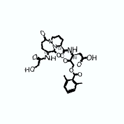 Cc1cccc(C)c1C(=O)OCC(=O)[C@H](CC(=O)O)NC(=O)[C@@H]1CCCN2C(=O)CC[C@H](NC(=O)CO)C(=O)N12